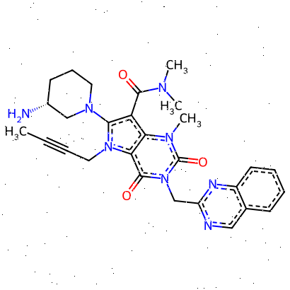 CC#CCn1c(N2CCC[C@@H](N)C2)c(C(=O)N(C)C)c2c1c(=O)n(Cc1ncc3ccccc3n1)c(=O)n2C